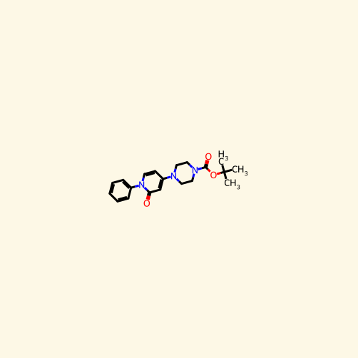 CC(C)(C)OC(=O)N1CCN(c2ccn(-c3ccccc3)c(=O)c2)CC1